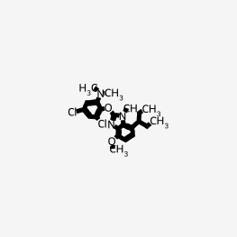 CCC(CC)c1ccc(OC)c2nc(Oc3c(Cl)cc(Cl)cc3N(C)C)n(C)c12